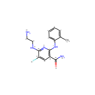 Cc1ccccc1Nc1nc(NCCN)c(F)cc1C(N)=O